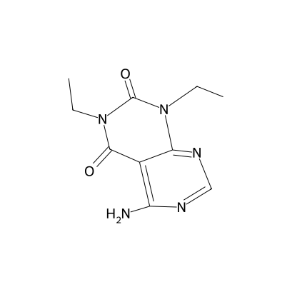 CCn1c(=O)c2c(N)ncnc2n(CC)c1=O